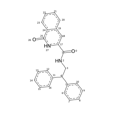 O=C(NCC(c1ccccc1)c1ccccc1)c1cc2ccccc2c(=O)[nH]1